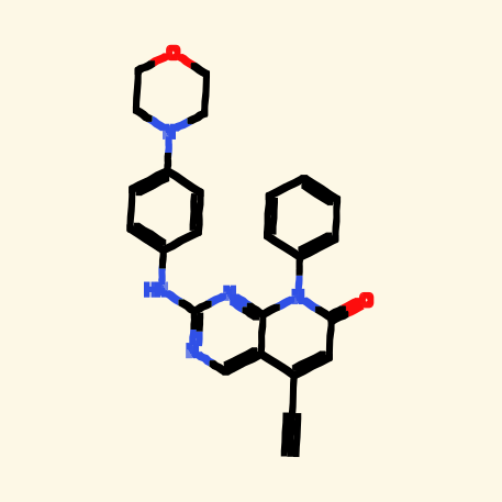 C#Cc1cc(=O)n(-c2ccccc2)c2nc(Nc3ccc(N4CCOCC4)cc3)ncc12